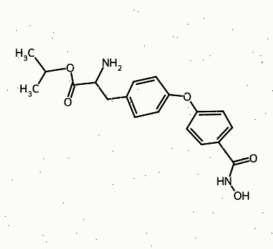 CC(C)OC(=O)C(N)Cc1ccc(Oc2ccc(C(=O)NO)cc2)cc1